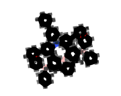 Cc1cccc(C)c1B1c2ccc(B(c3ccccc3)c3ccccc3)cc2-c2cc(-c3ccccc3)ccc2N(c2ccc(-c3ccccc3)cc2)c2ccc(-c3ccccc3)cc2-c2cc(B(c3ccccc3)c3ccccc3)ccc21